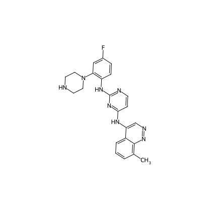 Cc1cccc2c(Nc3ccnc(Nc4ccc(F)cc4N4CCNCC4)n3)cnnc12